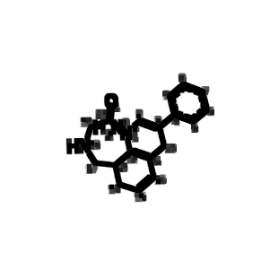 N[N+]12C=C(c3ccccc3)CC3=C1C(CC=C3)CNCC2=O